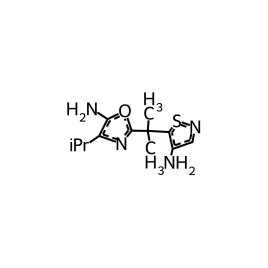 CC(C)c1nc(C(C)(C)c2sncc2N)oc1N